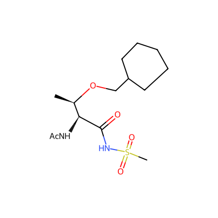 CC(=O)N[C@H](C(=O)NS(C)(=O)=O)[C@@H](C)OCC1CCCCC1